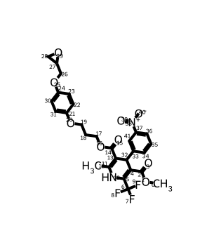 COC(=O)C1=C(C(F)(F)F)NC(C)=C(C(=O)OCCCOc2ccc(OCC3CO3)cc2)C1c1cccc([N+](=O)[O-])c1